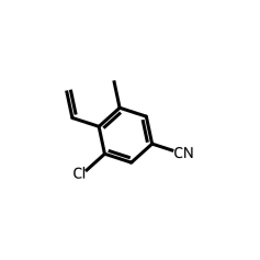 C=Cc1c(C)cc(C#N)cc1Cl